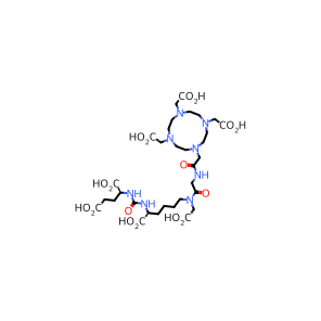 O=C(O)CC[C@H](NC(=O)N[C@@H](CCCCN(CC(=O)O)C(=O)CNC(=O)CN1CCN(CC(=O)O)CCN(CC(=O)O)CCN(CC(=O)O)CC1)C(=O)O)C(=O)O